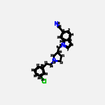 N#Cc1ccc2ccn(CC3CCN(CCc4cccc(Cl)c4)C3)c2c1